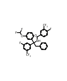 O=C(NC(Cc1ccccc1)(c1cccc(OC(F)F)c1)c1cc(F)cc(C(F)(F)F)c1)c1ccc(F)c(C(F)(F)F)c1